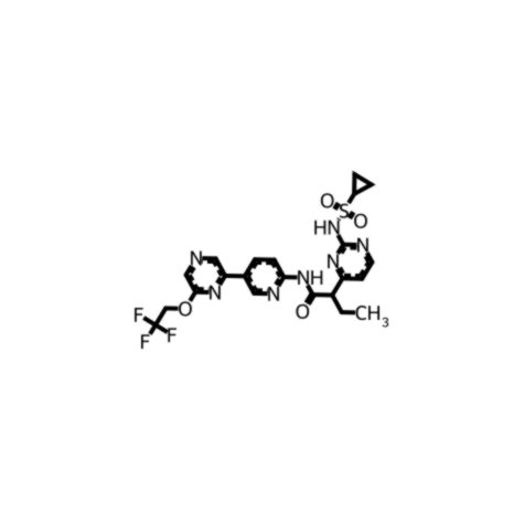 CCC(C(=O)Nc1ccc(-c2cncc(OCC(F)(F)F)n2)cn1)c1ccnc(NS(=O)(=O)C2CC2)n1